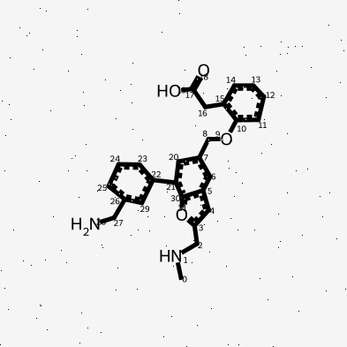 CNCc1cc2cc(COc3ccccc3CC(=O)O)cc(-c3cccc(CN)c3)c2o1